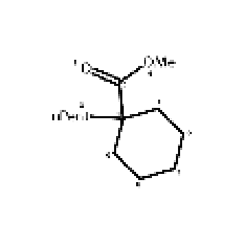 CCCCCC1(C(=O)OC)CCCCC1